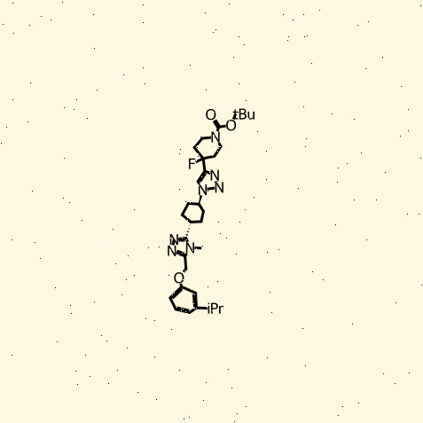 CC(C)c1cccc(OCc2nnc([C@H]3CC[C@H](n4cc(C5(F)CCN(C(=O)OC(C)(C)C)CC5)nn4)CC3)n2C)c1